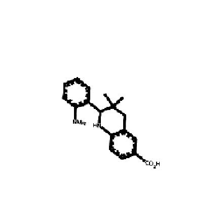 CNc1ccccc1C1Nc2ccc(C(=O)O)cc2CC1(C)C